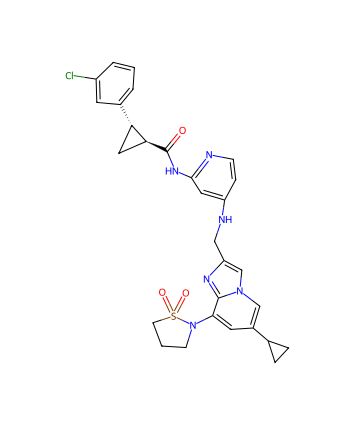 O=C(Nc1cc(NCc2cn3cc(C4CC4)cc(N4CCCS4(=O)=O)c3n2)ccn1)[C@H]1C[C@@H]1c1cccc(Cl)c1